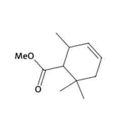 COC(=O)C1C(C)C=CCC1(C)C